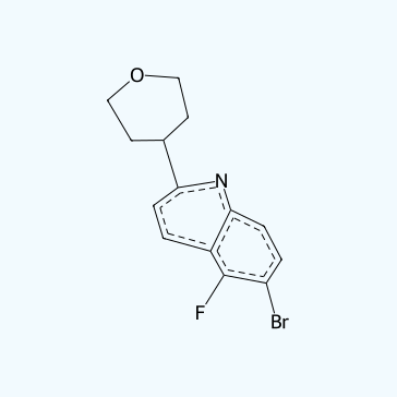 Fc1c(Br)ccc2nc(C3CCOCC3)ccc12